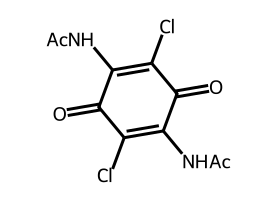 CC(=O)NC1=C(Cl)C(=O)C(NC(C)=O)=C(Cl)C1=O